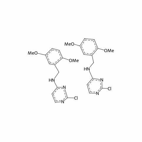 COc1ccc(OC)c(CNc2ccnc(Cl)n2)c1.COc1ccc(OC)c(CNc2ccnc(Cl)n2)c1